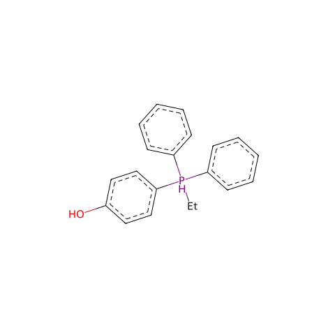 CC[PH](c1ccccc1)(c1ccccc1)c1ccc(O)cc1